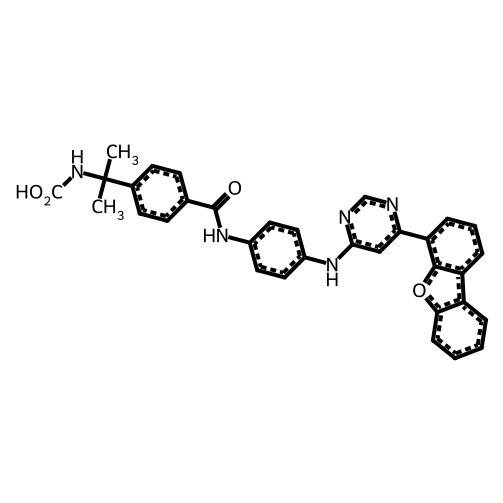 CC(C)(NC(=O)O)c1ccc(C(=O)Nc2ccc(Nc3cc(-c4cccc5c4oc4ccccc45)ncn3)cc2)cc1